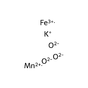 [Fe+3].[K+].[Mn+2].[O-2].[O-2].[O-2]